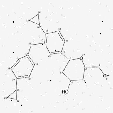 OC[C@@H]1CC(O)C[C@H](c2ccc(C3CC3)c(Cc3ccc(C4CC4)cc3)c2)O1